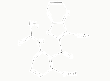 CCCC(C)c1cccc(NC(N)=S)c1C(=O)c1oc2cccnc2c1OC